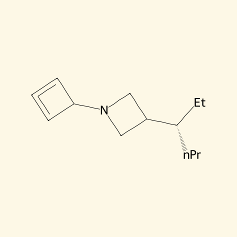 CCC[C@@H](CC)C1CN(C2C=C=C2)C1